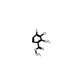 COC(=O)c1ccc(F)c(Cl)c1C